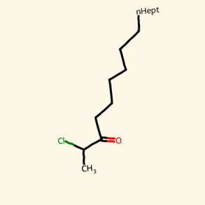 CCCCCCCCCCCCCC(=O)C(C)Cl